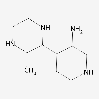 CC1NCCNC1C1CCNCC1N